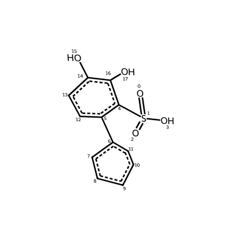 O=S(=O)(O)c1c(-c2ccccc2)ccc(O)c1O